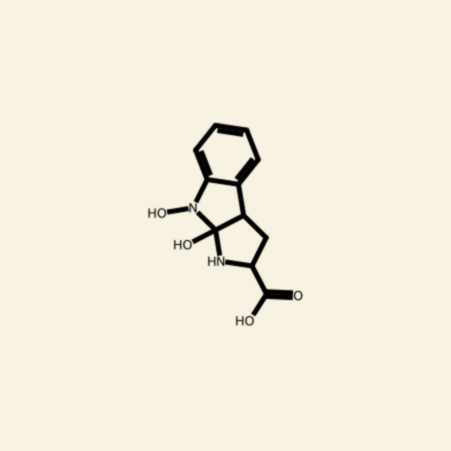 O=C(O)C1CC2c3ccccc3N(O)C2(O)N1